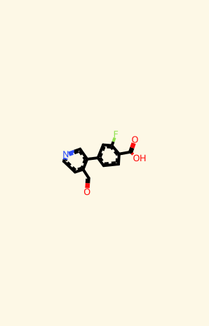 O=Cc1ccncc1-c1ccc(C(=O)O)c(F)c1